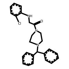 O=C(CNc1ccccc1Cl)N1CCN(C(c2ccccc2)c2ccccc2)CC1